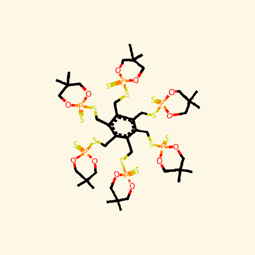 CC1(C)COP(=S)(SCc2c(CSP3(=S)OCC(C)(C)CO3)c(CSP3(=S)OCC(C)(C)CO3)c(CSP3(=S)OCC(C)(C)CO3)c(CSP3(=S)OCC(C)(C)CO3)c2CSP2(=S)OCC(C)(C)CO2)OC1